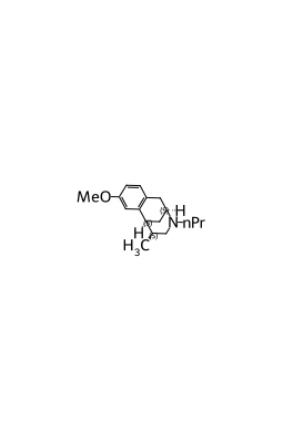 CCCN1C[C@@H](C)[C@@H]2C[C@H]1Cc1ccc(OC)cc12